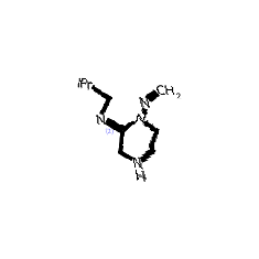 C=NN1CCNC/C1=N/CC(C)C